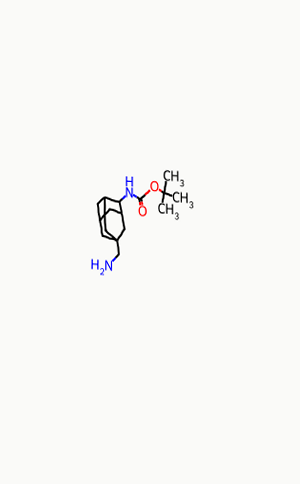 CC(C)(C)OC(=O)NC1C2CC3CC1CC(CN)(C3)C2